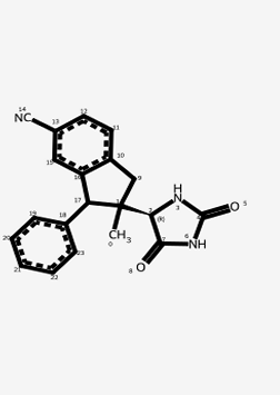 CC1([C@H]2NC(=O)NC2=O)Cc2ccc(C#N)cc2C1c1ccccc1